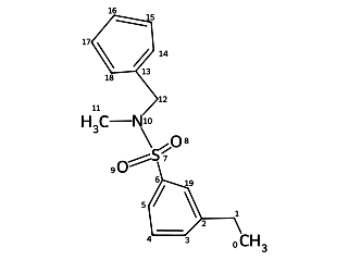 CCc1cccc(S(=O)(=O)N(C)Cc2ccccc2)c1